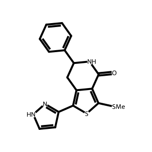 CSc1sc(-c2cc[nH]n2)c2c1C(=O)NC(c1ccccc1)C2